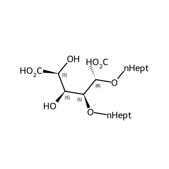 CCCCCCCO[C@@H]([C@@H](O)[C@H](O)C(=O)O)[C@@H](OCCCCCCC)C(=O)O